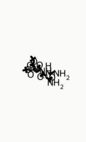 CC(C)(C)OC(=O)[C@@H]1C[C@@H](NC(=O)[C@H](CC(N)=O)NCCN)C(=O)N1C(=O)OC(C)(C)C